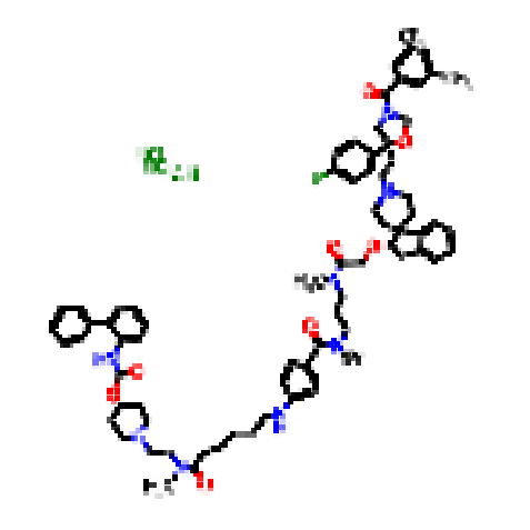 CC(C)N(CCCN(C)C(=O)CO[C@H]1Cc2ccccc2C12CCN(CC[C@]1(c3ccc(F)cc3)CN(C(=O)c3cc(C(F)(F)F)cc(C(F)(F)F)c3)CO1)CC2)C(=O)c1ccc(NCCCCCC(=O)N(C)CCN2CCC(OC(=O)Nc3ccccc3-c3ccccc3)CC2)cc1.Cl.Cl.Cl